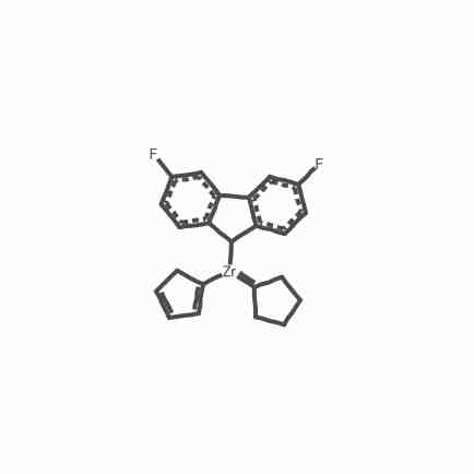 Fc1ccc2c(c1)-c1cc(F)ccc1[CH]2[Zr]([C]1=CC=CC1)=[C]1CCCC1